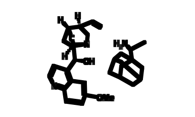 C=C[C@H]1CN2CC[C@H]1C[C@@H]2[C@@H](O)c1ccnc2ccc(OC)cc12.CC(N)C12CC3CC(CC(C3)C1)C2